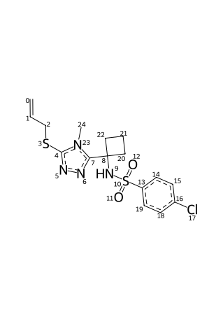 C=CCSc1nnc(C2(NS(=O)(=O)c3ccc(Cl)cc3)CCC2)n1C